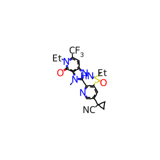 CCn1c(C(F)(F)F)cc2nc(-c3ncc(C4(C#N)CC4)cc3[S@](=N)(=O)CC)n(C)c2c1=O